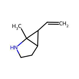 C=CC1C2CCNC12C